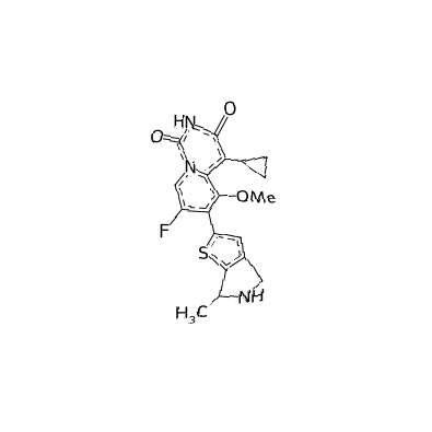 COc1c(-c2cc3c(s2)C(C)NC3)c(F)cn2c(=O)[nH]c(=O)c(C3CC3)c12